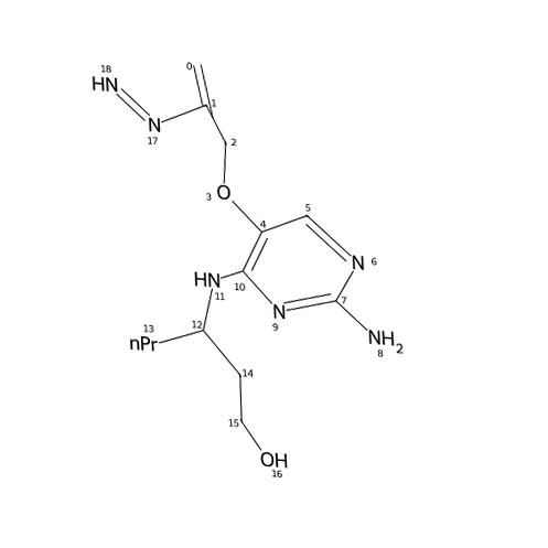 C=C(COc1cnc(N)nc1NC(CCC)CCO)N=N